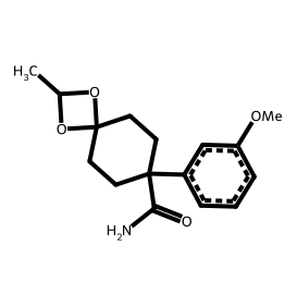 COc1cccc(C2(C(N)=O)CCC3(CC2)OC(C)O3)c1